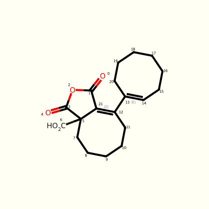 O=C1OC(=O)C2(C(=O)O)CCCCCC(/C3=C/CCCCCC3)=C/12